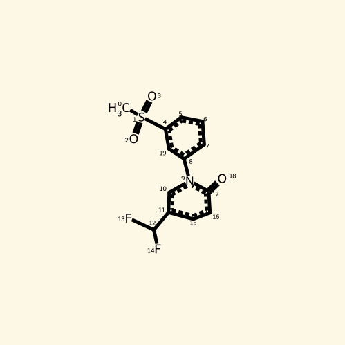 CS(=O)(=O)c1cccc(-n2cc(C(F)F)ccc2=O)c1